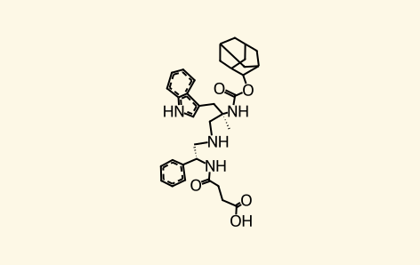 C[C@](CNC[C@H](NC(=O)CCC(=O)O)c1ccccc1)(Cc1c[nH]c2ccccc12)NC(=O)OC1C2CC3CC(C2)CC1C3